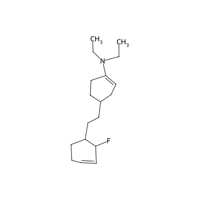 CCN(CC)C1=CCC(CCC2CCC=CC2F)CC1